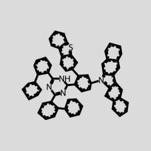 c1ccc(-c2ccccc2C2=NC(c3ccc(-n4c5cc6ccccc6cc5c5cc6ccccc6cc54)cc3-c3ccc4c(c3)sc3ccccc34)NC(c3ccccc3-c3ccccc3)=N2)cc1